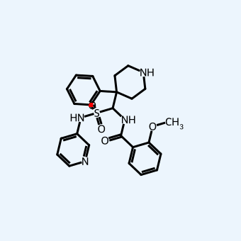 COc1ccccc1C(=O)NC(C1(c2ccccc2)CCNCC1)S(=O)(=O)Nc1cccnc1